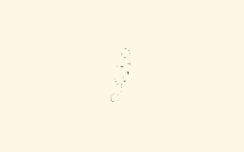 N=C(Nc1cccc(Cl)c1)Nc1cccc(Cc2ccccc2)n1